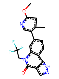 COc1cc(C)c(-c2ccc3c4[nH]ncc4c(=O)n(CC(F)(F)F)c3c2)cn1